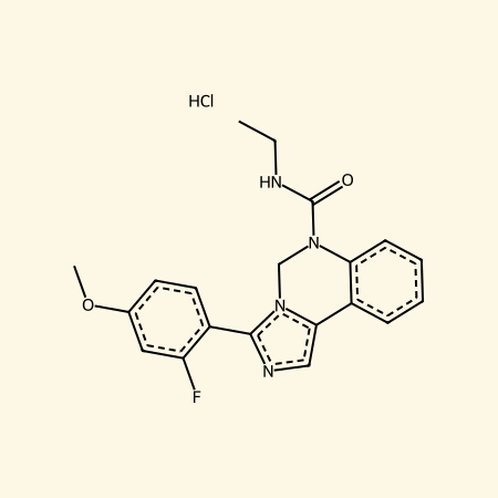 CCNC(=O)N1Cn2c(cnc2-c2ccc(OC)cc2F)-c2ccccc21.Cl